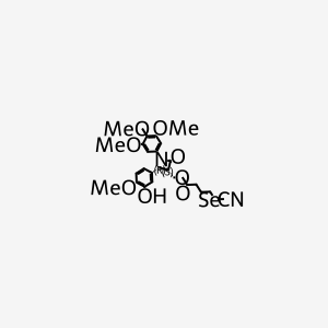 COc1ccc([C@H]2[C@@H](COC(=O)CCC[Se]C#N)C(=O)N2c2cc(OC)c(OC)c(OC)c2)cc1O